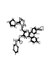 O=C(NN1CCCCC1)Oc1nc(-c2ccc(Cl)cc2)c(-c2ccc(Cl)cc2)nc1Cn1nnnc1N1CCCC1